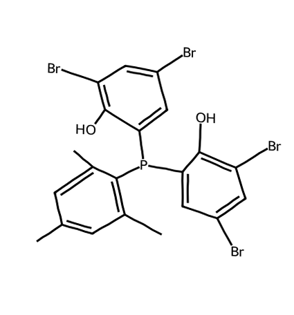 Cc1cc(C)c(P(c2cc(Br)cc(Br)c2O)c2cc(Br)cc(Br)c2O)c(C)c1